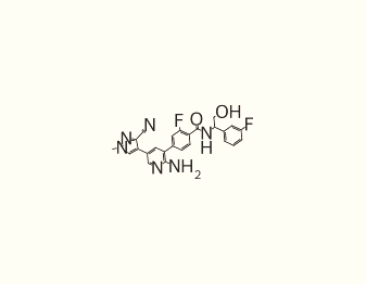 Cn1cc(-c2cnc(N)c(-c3ccc(C(=O)NC(CO)c4cccc(F)c4)c(F)c3)c2)c(C#N)n1